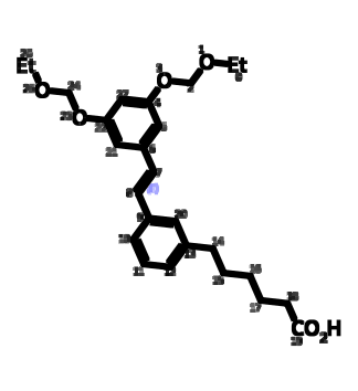 CCOCOc1cc(/C=C/c2cccc(CCCCCC(=O)O)c2)cc(OCOCC)c1